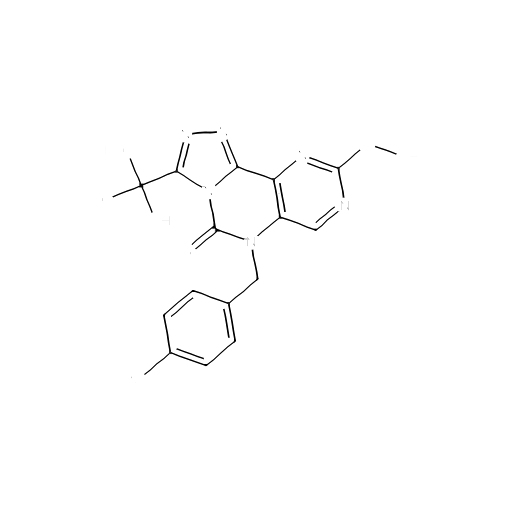 COc1ncc2c(n1)c1nnc(C(C)(C)C)n1c(=O)n2Cc1ccc(Cl)cc1